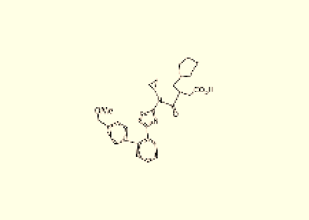 COCc1ccc(-c2ccccc2-c2csc(N(C(=O)C(CC(=O)O)CC3CCCC3)C3CC3)n2)cn1